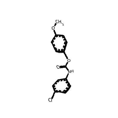 COc1ccc(OC(=O)Nc2ccc(Cl)cc2)cc1